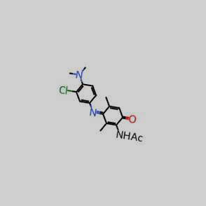 CC(=O)NC1=C(C)C(=Nc2ccc(N(C)C)c(Cl)c2)C(C)=CC1=O